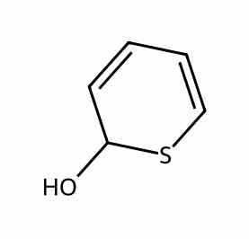 OC1C=CC=CS1